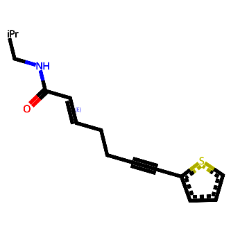 CC(C)CNC(=O)/C=C/CCC#Cc1cccs1